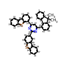 CC1(C)c2ccccc2-c2c(-c3cc(-c4cccc5c4sc4ccccc45)nc(-c4ccc5sc6ccccc6c5c4)n3)cccc21